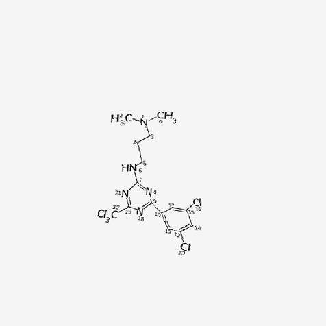 CN(C)CCCNc1nc(-c2cc(Cl)cc(Cl)c2)nc(C(Cl)(Cl)Cl)n1